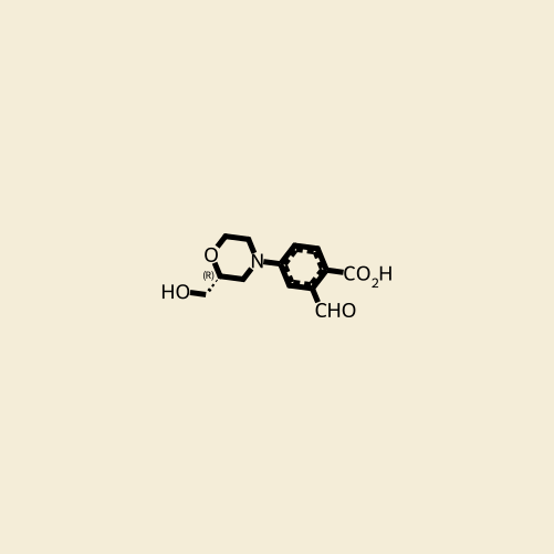 O=Cc1cc(N2CCO[C@@H](CO)C2)ccc1C(=O)O